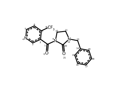 O=C(c1cnccc1C(F)(F)F)N1CCN(Cc2ccccc2)C1=O